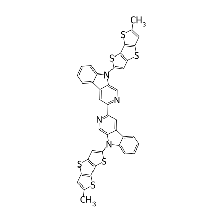 Cc1cc2sc3cc(-n4c5ccccc5c5cc(-c6cc7c8ccccc8n(-c8cc9sc%10cc(C)sc%10c9s8)c7cn6)ncc54)sc3c2s1